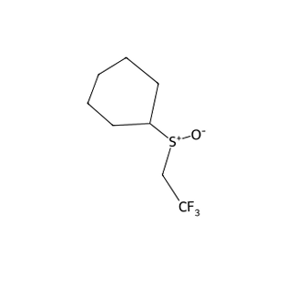 [O-][S+](CC(F)(F)F)C1CCCCC1